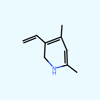 C=CC1=C(C)[C]=C(C)NC1